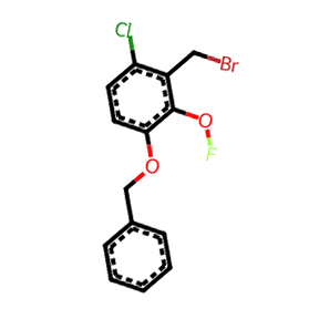 FOc1c(OCc2ccccc2)ccc(Cl)c1CBr